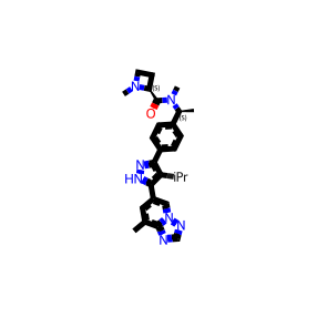 Cc1cc(-c2[nH]nc(-c3ccc([C@H](C)N(C)C(=O)[C@@H]4CCN4C)cc3)c2C(C)C)cn2ncnc12